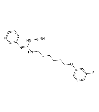 N#CN/C(=N\c1cccnc1)NCCCCCCOc1cccc(F)c1